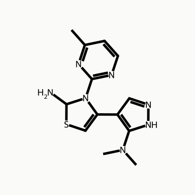 Cc1ccnc(N2C(c3cn[nH]c3N(C)C)=CSC2N)n1